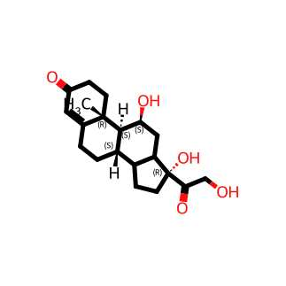 C[C@]12CCC(=O)C=C1CC[C@H]1C3CC[C@](O)(C(=O)CO)C3C[C@H](O)[C@@H]12